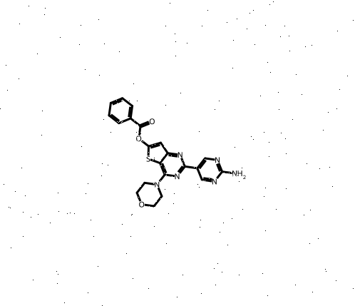 Nc1ncc(-c2nc(N3CCOCC3)c3sc(OC(=O)c4ccccc4)cc3n2)cn1